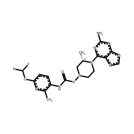 Cc1nc(OC(F)F)ccc1NC(=O)ON1CCN(c2nc(N)nc3scnc23)[C@@H](C)C1